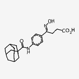 O=C(O)CCC(=NO)c1ccc(NC(=O)C23CC4CC(CC(C4)C2)C3)cc1